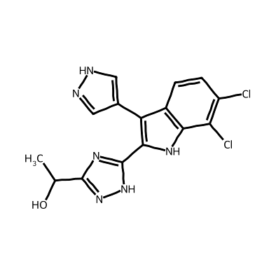 CC(O)c1n[nH]c(-c2[nH]c3c(Cl)c(Cl)ccc3c2-c2cn[nH]c2)n1